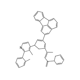 C=C(/C=C(\C)C1=CC(c2cc3c4c(cccc4c2)-c2ccccc2-3)=CC(c2ccnc(-c3ccccc3C)c2C)C1)C1C=CC=CC1